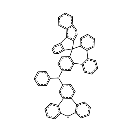 c1ccc(N(c2ccc3c(c2)-c2ccccc2Oc2ccccc2-3)c2ccc3c(c2)-c2ccccc2-c2ccccc2C32c3ccccc3-c3c2ccc2ccccc32)cc1